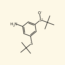 CC(C)(C)Sc1cc(N)cc([S+]([O-])C(C)(C)C)c1